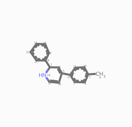 Cc1ccc(C2=CC(c3ccccc3)NC=C2)cc1